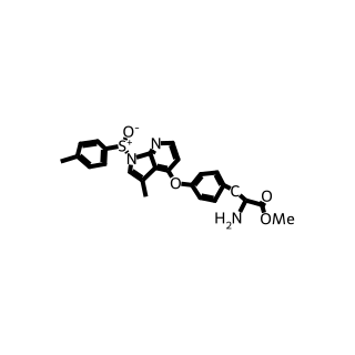 COC(=O)C(N)Cc1ccc(Oc2ccnc3c2c(C)cn3[S+]([O-])c2ccc(C)cc2)cc1